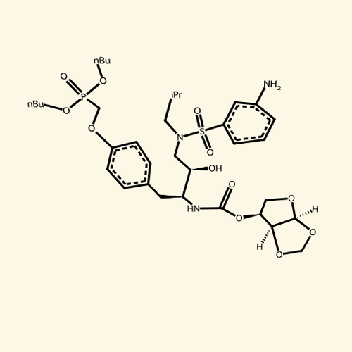 CCCCOP(=O)(COc1ccc(C[C@H](NC(=O)O[C@H]2CO[C@H]3OCO[C@H]32)[C@H](O)CN(CC(C)C)S(=O)(=O)c2cccc(N)c2)cc1)OCCCC